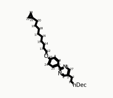 CCCCCCCCCCCCc1cnc(-c2ccc(OCCCCCCCCCC3CC3)cc2)nc1